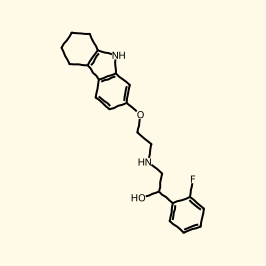 OC(CNCCOc1ccc2c3c([nH]c2c1)CCCC3)c1ccccc1F